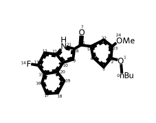 CCCCOc1ccc(C(=O)c2cc3c(cc(F)c4ccccc43)[nH]2)cc1OC